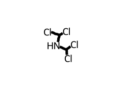 ClC(Cl)NC(Cl)Cl